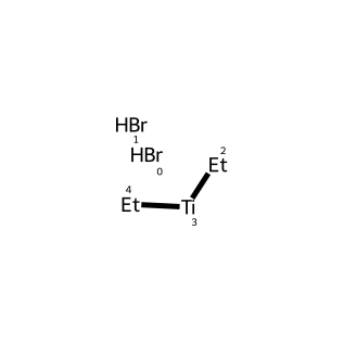 Br.Br.C[CH2][Ti][CH2]C